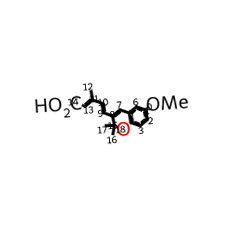 COc1ccc2c(c1)C=C(C=CC(C)=CC(=O)O)C(C)(C)O2